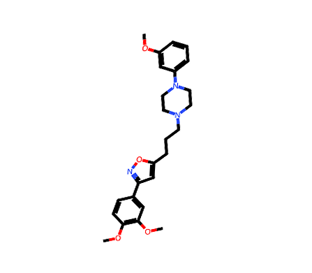 COc1cccc(N2CCN(CCCc3cc(-c4ccc(OC)c(OC)c4)no3)CC2)c1